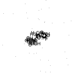 CC1(F)[C@@H](O)[C@@H](COP(=O)(O)OP(=O)(O)OP(=O)(O)O)O[C@H]1n1cc(F)c(=O)[nH]c1=O